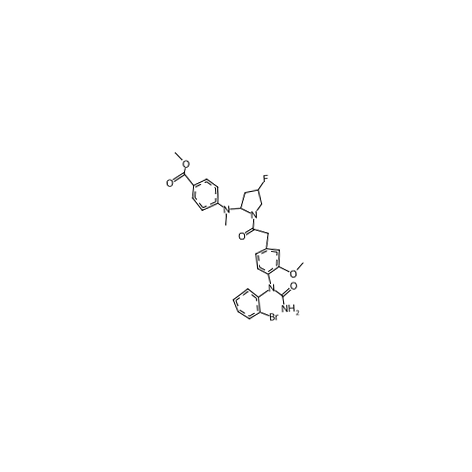 COC(=O)c1ccc(N(C)C2CC(F)CN2C(=O)Cc2ccc(N(C(N)=O)c3ccccc3Br)c(OC)c2)cc1